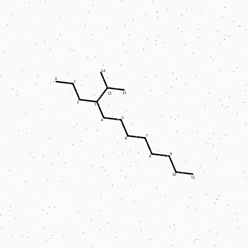 [CH2]CCC(CCCCCCCC)C(C)C